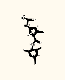 Cc1cc(C)c(NC(=O)c2sc(NC(N)=O)nc2C)c(C)c1